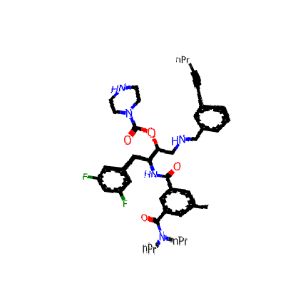 CCCC#Cc1cccc(CNCC(OC(=O)N2CCNCC2)C(Cc2cc(F)cc(F)c2)NC(=O)c2cc(C)cc(C(=O)N(CCC)CCC)c2)c1